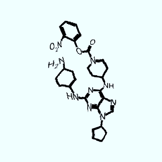 NC1CCC(Nc2nc(NC3CCN(C(=O)Oc4ccccc4[N+](=O)[O-])CC3)c3ncn(C4CCCC4)c3n2)CC1